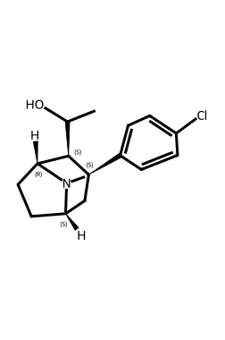 CC(O)[C@H]1[C@@H](c2ccc(Cl)cc2)C[C@@H]2CC[C@H]1N2C